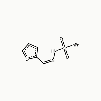 CCCS(=O)(=O)N/N=C\c1ccco1